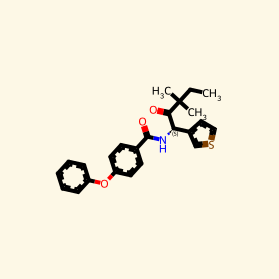 CCC(C)(C)C(=O)[C@@H](NC(=O)c1ccc(Oc2ccccc2)cc1)c1ccsc1